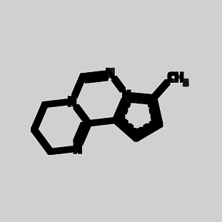 Cc1ccc2n1N=CN1CCCN=C21